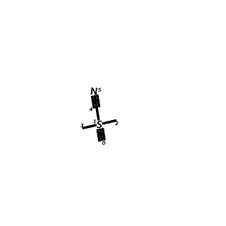 C#S(C)(C)C#N